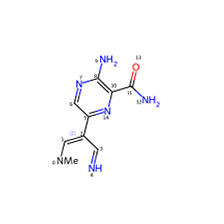 CN/C=C(\C=N)c1cnc(N)c(C(N)=O)n1